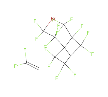 C=C(F)F.FC(F)(F)C1(F)C(F)(F)C2C(F)(F)C(F)(F)C21C(F)(F)C(F)(F)Br